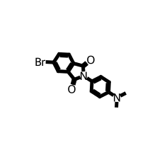 CN(C)c1ccc(N2C(=O)c3ccc(Br)cc3C2=O)cc1